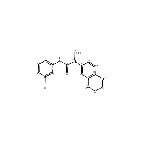 O=CN(C(=O)Nc1cccc(I)c1)c1ccc2c(c1)OCCO2